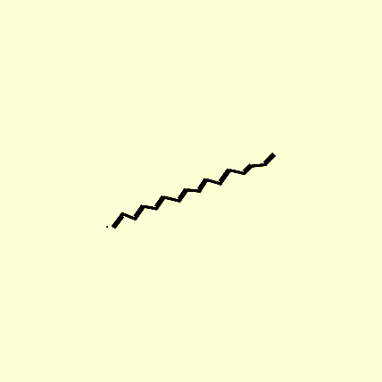 [CH]=CC=CC=CC=CC=CC=CC=CC=C